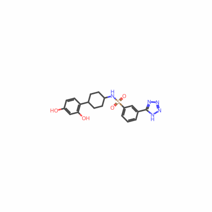 O=S(=O)(NC1CCC(c2ccc(O)cc2O)CC1)c1cccc(-c2nnn[nH]2)c1